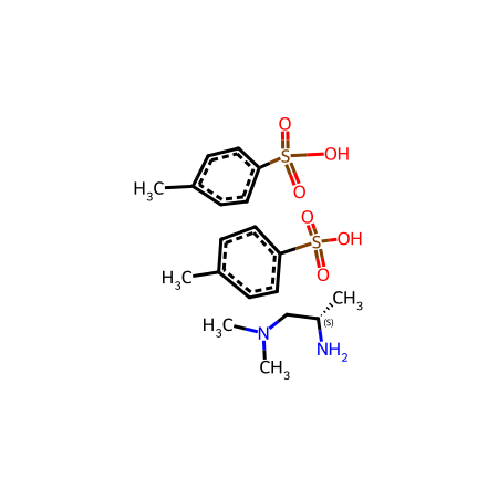 C[C@H](N)CN(C)C.Cc1ccc(S(=O)(=O)O)cc1.Cc1ccc(S(=O)(=O)O)cc1